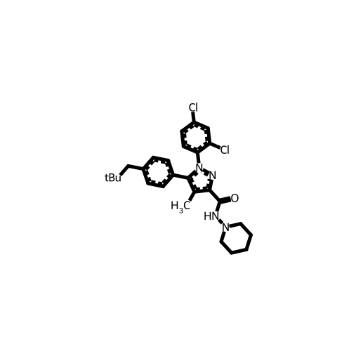 Cc1c(C(=O)NN2CCCCC2)nn(-c2ccc(Cl)cc2Cl)c1-c1ccc(CC(C)(C)C)cc1